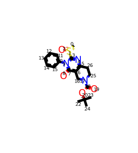 C[S+]([O-])c1nc2c(c(=O)n1-c1ccccc1)CN(C(=O)OC(C)(C)C)CC2